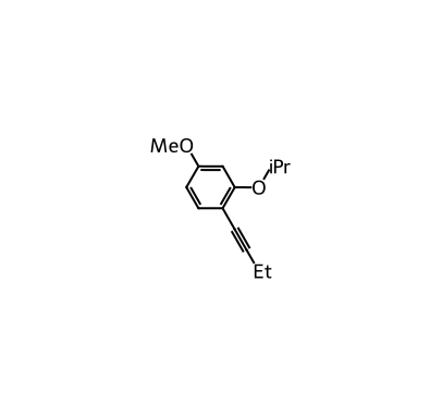 CCC#Cc1ccc(OC)cc1OC(C)C